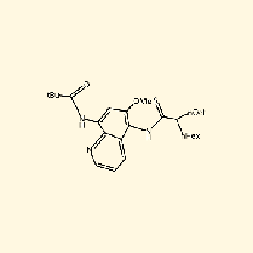 CCCCCCCCC(CCCCCC)C(=S)Nc1c(OC)cc(NC(=O)C(C)(C)C)c2ncccc12